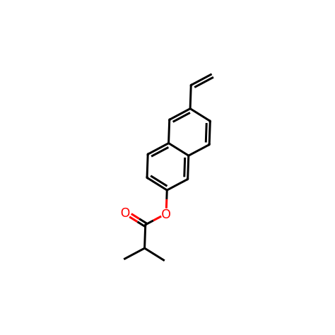 C=Cc1ccc2cc(OC(=O)C(C)C)ccc2c1